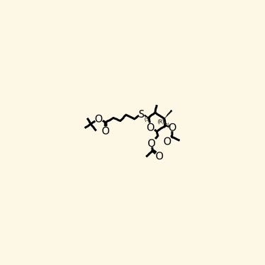 CC(=O)OCC1O[C@@H](SCCCCC(=O)OC(C)(C)C)C(C)[C@@H](C)[C@H]1OC(C)=O